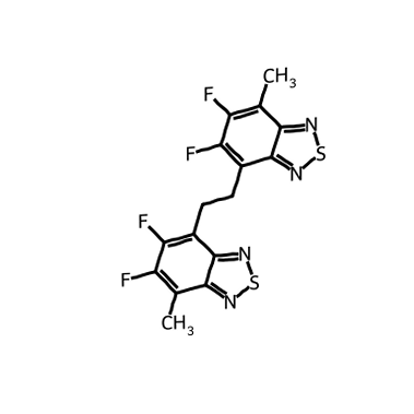 Cc1c(F)c(F)c(CCc2c(F)c(F)c(C)c3nsnc23)c2nsnc12